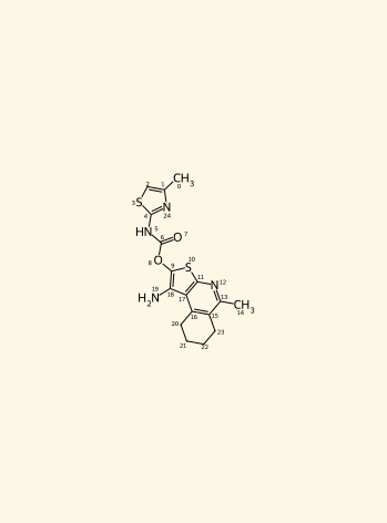 Cc1csc(NC(=O)Oc2sc3nc(C)c4c(c3c2N)CCCC4)n1